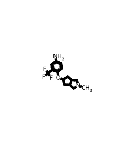 CN1CC2CC(Oc3ccc(N)cc3C(F)(F)F)CC2C1